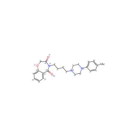 CC(=O)c1ccc(N2CCN(CCCCN3C(=O)COc4ccccc4C3=O)CC2)cc1